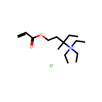 C=CC(=O)OCCC(C)(CC)[N+](CC)(CC)CC.[Cl-]